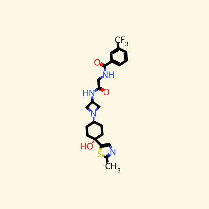 Cc1ncc([C@]2(O)CC[C@H](N3CC(NC(=O)CNC(=O)c4cccc(C(F)(F)F)c4)C3)CC2)s1